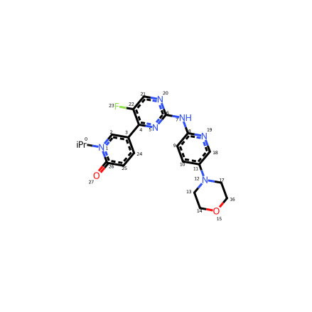 CC(C)n1cc(-c2nc(Nc3ccc(N4CCOCC4)cn3)ncc2F)ccc1=O